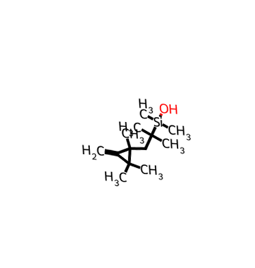 C=C1C(C)(C)C1(C)CC(C)(C)[Si](C)(C)O